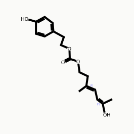 C/C(O)=C\C=C(/C)CCOC(=O)OCCc1ccc(O)cc1